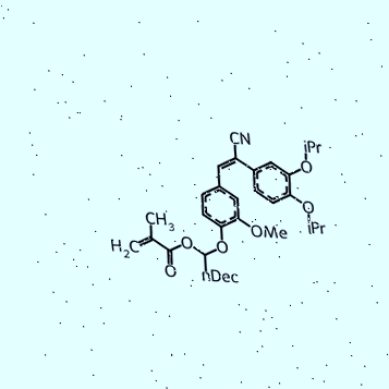 C=C(C)C(=O)OC(CCCCCCCCCC)Oc1ccc(C=C(C#N)c2ccc(OC(C)C)c(OC(C)C)c2)cc1OC